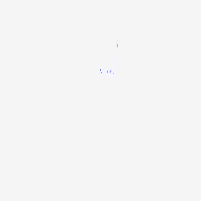 CCNc1ccccc1-c1ccccc1F